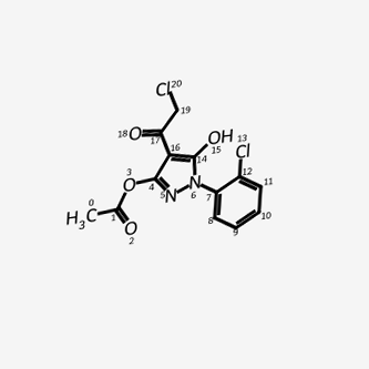 CC(=O)Oc1nn(-c2ccccc2Cl)c(O)c1C(=O)CCl